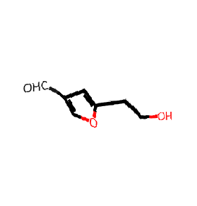 O=Cc1coc(CCO)c1